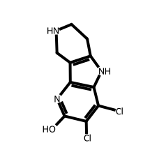 Oc1nc2c3c([nH]c2c(Cl)c1Cl)CCNC3